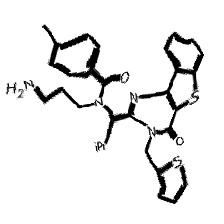 Cc1ccc(C(=O)N(CCCN)C(c2nc3c(sc4ccccc43)c(=O)n2Cc2cccs2)C(C)C)cc1